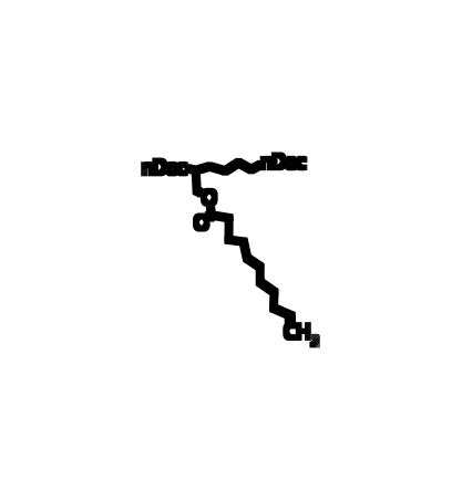 C=CCCCCCCCCC(=O)OCC(CCCCCCCCCC)CCCCCCCCCCCCCC